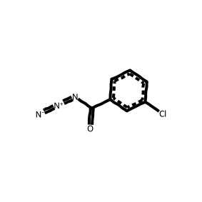 [N-]=[N+]=NC(=O)c1cccc(Cl)c1